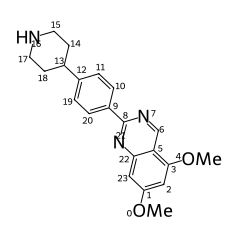 COc1cc(OC)c2cnc(-c3ccc(C4CCNCC4)cc3)nc2c1